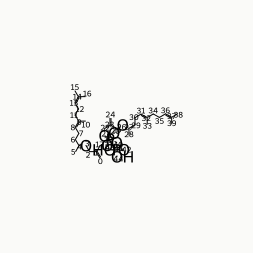 C=C(COC(C)CC/C=C(\C)CCC=C(C)C)COP(=O)(OCC(=C)COC(C)CC/C=C(\C)CCC=C(C)C)OP(=O)(O)O